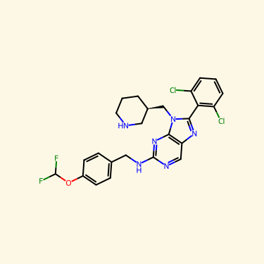 FC(F)Oc1ccc(CNc2ncc3nc(-c4c(Cl)cccc4Cl)n(C[C@@H]4CCCNC4)c3n2)cc1